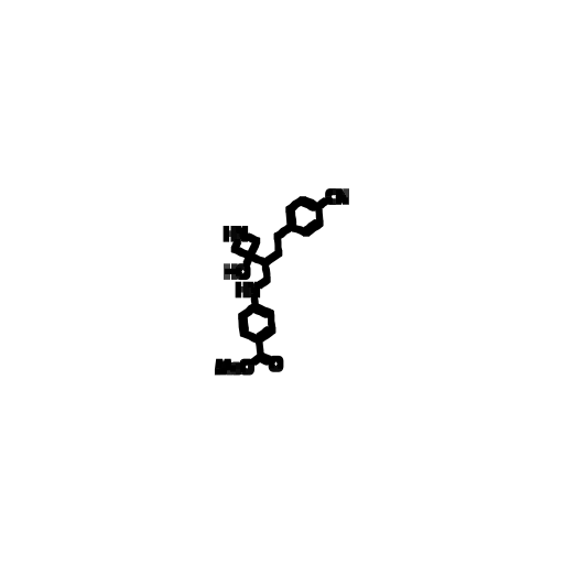 COC(=O)c1ccc(NCC(CCc2ccc(C#N)cc2)C2(O)CNC2)cc1